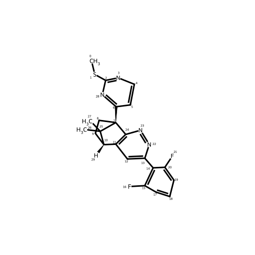 CSc1nccc([C@@]23CC[C@@H](c4cc(-c5c(F)cccc5F)nnc42)C3(C)C)n1